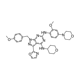 COc1ccc(Cn2nc(-c3ncco3)c3c(NC4CCOCC4)nc(Nc4ccc(N5CCOCC5)cc4OC)nc32)cc1